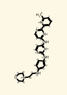 Cc1cccc(-c2nccc(Nc3ccnc(Nc4ccc(NCCN5CCOCC5)cc4)n3)n2)n1